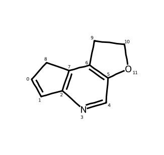 C1=Cc2ncc3c(c2C1)CCO3